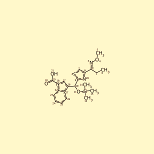 CCC(=NOC)c1csc(C(O[Si](C)(C)C)c2cn(C(=O)O)c3ccccc23)n1